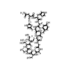 CC(C)C[C@H](NC(=O)[C@H](C)NC(=O)CNC(=O)[C@H](CC(C)C)NC(=O)[C@H](Cc1ccc(O)cc1)NC(=O)[C@H](Cc1c[nH]cn1)NC(=O)[C@H](C)NC(=O)[C@H](Cc1c[nH]cn1)NC(=O)[C@@H](N)CC(N)=O)C(=O)N[C@@H](CC(C)C)C(=O)N[C@@H](CO)C(=O)N[C@H](C(=O)O)[C@@H](C)O